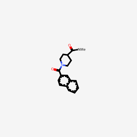 CNC(=O)C1CCN(C(=O)c2ccc3ccccc3c2)CC1